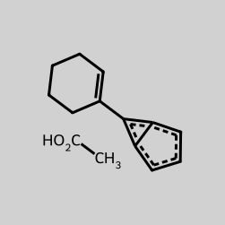 C1=C(c2c3cccc2-3)CCCC1.CC(=O)O